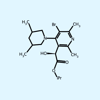 Cc1nc(C)c([C@H](O)C(=O)OC(C)C)c(N2CC(C)CC(C)C2)c1Br